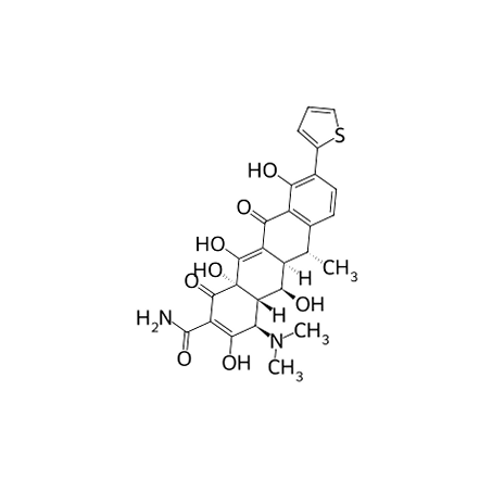 C[C@H]1c2ccc(-c3cccs3)c(O)c2C(=O)C2=C(O)[C@]3(O)C(=O)C(C(N)=O)=C(O)[C@H](N(C)C)[C@H]3[C@H](O)[C@@H]21